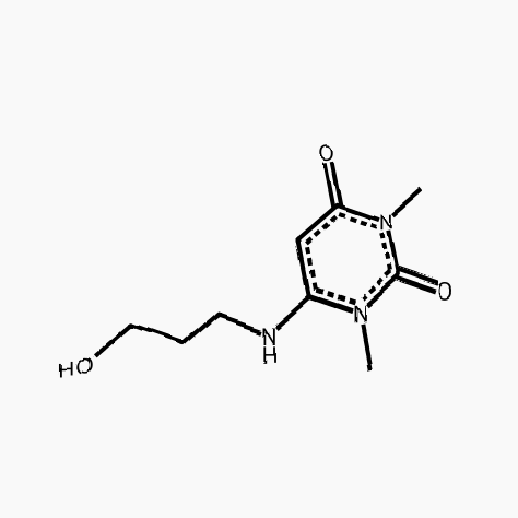 Cn1c(NCCCO)cc(=O)n(C)c1=O